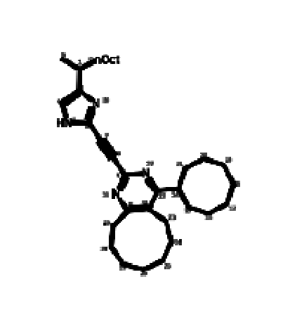 CCCCCCCCC(C)c1c[nH]c(C#Cc2nc3c(c(C4CCCCCCC4)n2)CCCCCCC3)n1